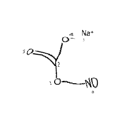 O=NOC(=O)[O-].[Na+]